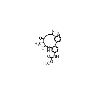 COC(=O)Nc1ccc2c(c1)NC(=O)C(C)C(=O)CCC(N)c1cc-2ccn1